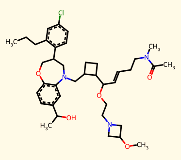 CCCc1cc(Cl)ccc1C1COc2ccc(C(C)O)cc2N(CC2CCC2C(/C=C/CCN(C)C(C)=O)OCCN2CC(OC)C2)C1